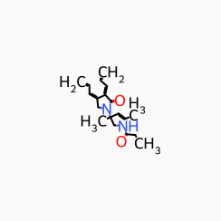 C=C/C=C1/CN(C(C)(/C=C/C)CNC(=O)CC)C(=O)/C1=C/C=C